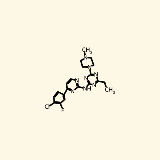 CCc1nc(Nc2nccc(-c3ccc(Cl)c(F)c3)n2)nc(N2CCN(C)CC2)n1